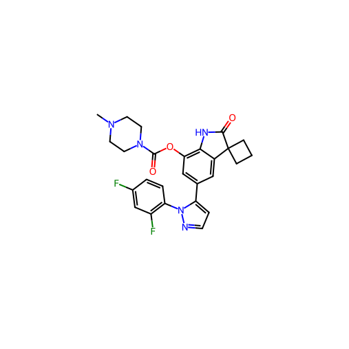 CN1CCN(C(=O)Oc2cc(-c3ccnn3-c3ccc(F)cc3F)cc3c2NC(=O)C32CCC2)CC1